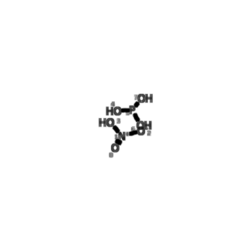 O=[N+]([O-])O.OP(O)O